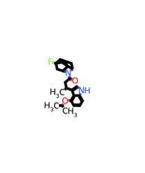 CC(C)Oc1cccc2[nH]cc(C(C)CC(=O)N3C4CC5CC3CC(F)(C5)C4)c12